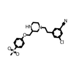 CS(=O)(=O)c1ccc(OCC2CN(CCc3cc(Cl)cc(C#N)c3)CCN2)cc1